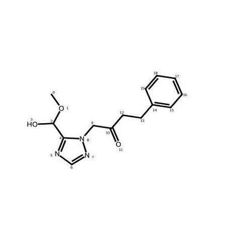 COC(O)c1ncnn1CC(=O)CCc1ccccc1